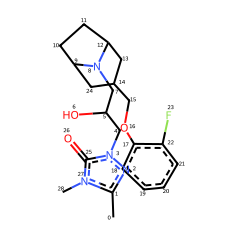 Cc1nn(CC(O)CN2C3CCC2CC(COc2ccccc2F)C3)c(=O)n1C